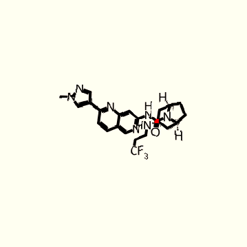 Cn1cc(-c2ccc3cnc(NC(=O)N4[C@@H]5CC[C@H]4C[C@H](NCCC(F)(F)F)C5)cc3n2)cn1